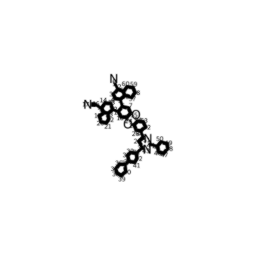 N#Cc1ccc(-c2cc3c(cc2-c2ccc(C#N)c4ccccc24)Oc2cc(-c4cc(-c5ccc(-c6ccccc6)cc5)nc(-c5ccccc5)n4)ccc2O3)c2ccccc12